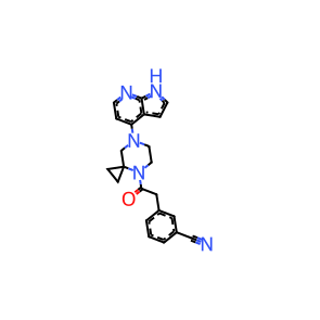 N#Cc1cccc(CC(=O)N2CCN(c3ccnc4[nH]ccc34)CC23CC3)c1